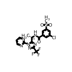 C[C@H](NC(=O)c1cc(Cl)cc(S(C)(=O)=O)c1)c1nc(C(F)(F)F)nn1-c1ncccn1